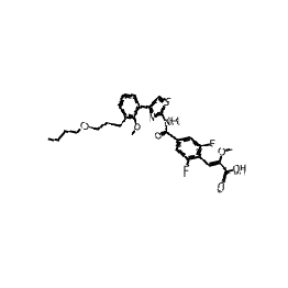 CCCCOCCCc1cccc(-c2csc(NC(=O)c3cc(F)c(C=C(OC)C(=O)O)c(F)c3)n2)c1OC